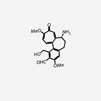 COc1cc2c(c(CO)c1C=O)-c1ccc(OC)c(=O)cc1[C@@H](N)CC2